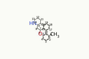 Cc1cccc(OC(CC2CCCCN2)c2ccccc2)c1